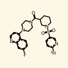 [2H]c1ccc(S(=O)(=O)N2CCCC(C(=O)N3CCN(c4ccnc5cc(F)ccc45)CC3)C2)cn1